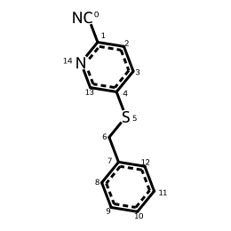 N#Cc1ccc(SCc2ccccc2)cn1